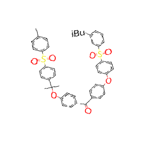 CCC(C)c1cccc(S(=O)(=O)c2ccc(Oc3ccc(C(=O)c4ccc(OC(C)(C)c5ccc(S(=O)(=O)c6ccc(C)cc6)cc5)cc4)cc3)cc2)c1